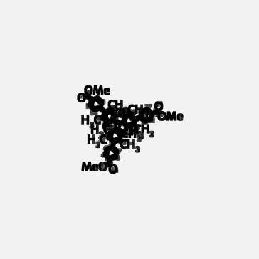 COC(=O)c1ccc(-c2c(C)c(C)c(B(c3c(C)c(C)c(-c4ccc(C(=O)OC)cc4)c(C)c3C)c3c(C)c(C)c(-c4ccc(C(=O)OC)cc4)c(C)c3C)c(C)c2C)cc1